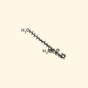 CCCCCCCCCCCCCCCCCCOCC(COC(=O)OCCN1CCCCC1)OC